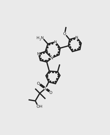 COc1ncccc1-c1cn2c(-c3cc(S(=O)(=O)C(C)(C)C(C)O)ccc3C)cnc2c(N)n1